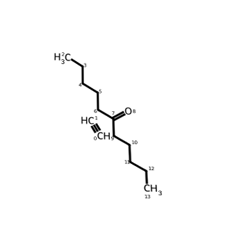 C#C.CCCCCC(=O)CCCCC